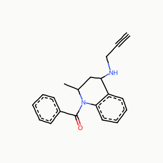 C#CCNC1CC(C)N(C(=O)c2ccccc2)c2ccccc21